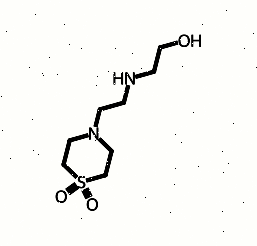 O=S1(=O)CCN(CCNCCO)CC1